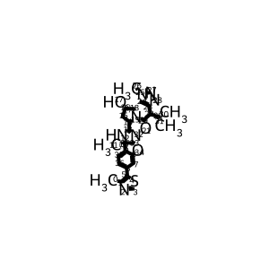 Cc1ncsc1-c1ccc([C@]2(C)NC(C3C[C@@H](O)CN3C(=O)C(c3cn(C)nn3)C(C)C)=NC2=O)cc1